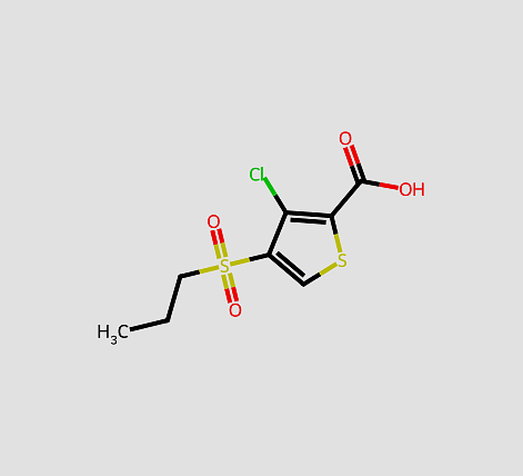 CCCS(=O)(=O)c1csc(C(=O)O)c1Cl